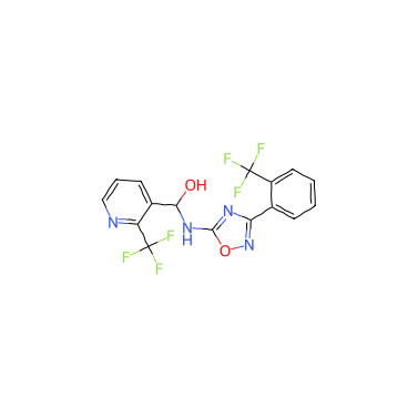 OC(Nc1nc(-c2ccccc2C(F)(F)F)no1)c1cccnc1C(F)(F)F